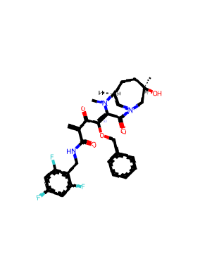 C=C(C(=O)NCc1c(F)cc(F)cc1F)C(=O)/C(OCc1ccccc1)=C1/C(=O)N2C[C@H](CC[C@@](C)(O)C2)N1C